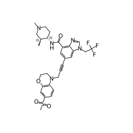 C[C@H]1CN(C)CC[C@@H]1NC(=O)c1cc(C#CCN2CCOc3cc(S(C)(=O)=O)ccc32)cc2c1ncn2CC(F)(F)F